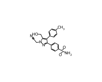 Cc1ccc(-c2c(-c3ccc(S(N)(=O)=O)cc3)nn(CC#N)c2CO)cc1